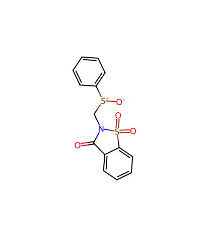 O=C1c2ccccc2S(=O)(=O)N1C[S+]([O-])c1ccccc1